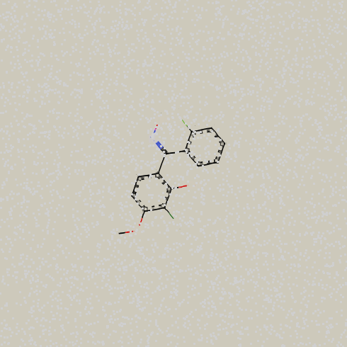 COc1ccc(C(=NO)c2ccccc2F)c(O)c1Cl